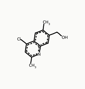 Cc1cc(Cl)c2cc(C)c(CO)cc2n1